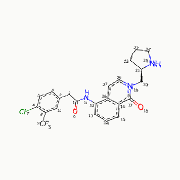 O=C(Cc1ccc(Cl)c(C(F)(F)F)c1)Nc1cccc2c(=O)n(C[C@H]3CCCN3)ccc12